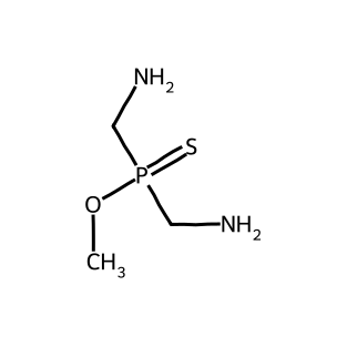 COP(=S)(CN)CN